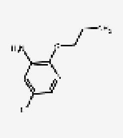 NCCOc1ncc(Cl)cc1N